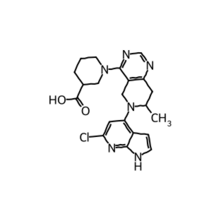 CC1Cc2ncnc(N3CCCC(C(=O)O)C3)c2CN1c1cc(Cl)nc2[nH]ccc12